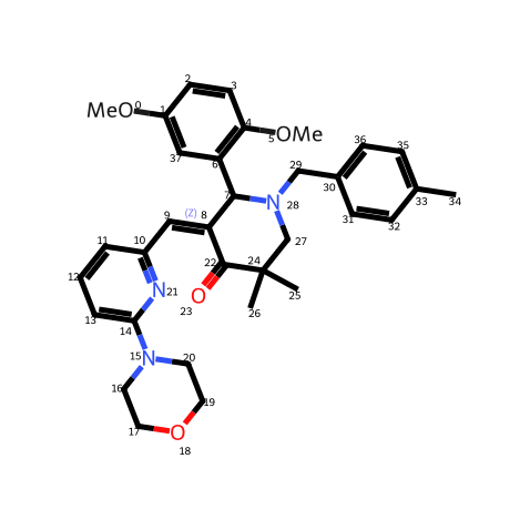 COc1ccc(OC)c(C2/C(=C/c3cccc(N4CCOCC4)n3)C(=O)C(C)(C)CN2Cc2ccc(C)cc2)c1